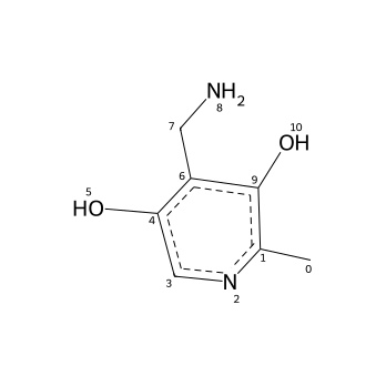 Cc1ncc(O)c(CN)c1O